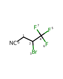 N#CCC(Br)C(F)(F)F